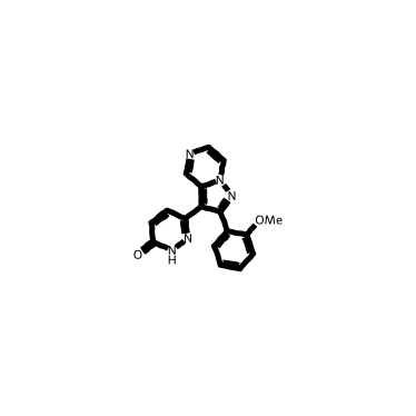 COc1ccccc1-c1nn2ccncc2c1-c1ccc(=O)[nH]n1